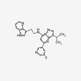 CC(C)c1cnn2c(NCCc3c[nH]c4cccnc34)cc(-c3cncc(F)c3)nc12